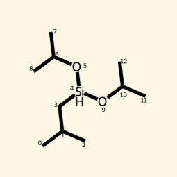 CC(C)C[SiH](OC(C)C)OC(C)C